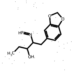 CCC(O)C(Cc1ccc2c(c1)OCO2)N=P